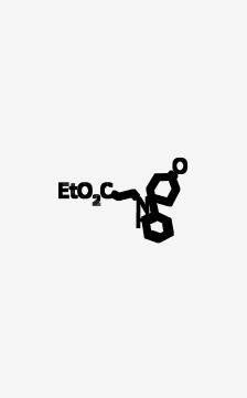 CCOC(=O)CCNC1(c2ccccc2)CCC(=O)CC1